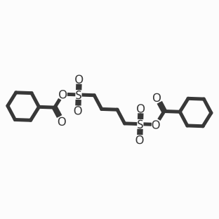 O=C(OS(=O)(=O)CCCCS(=O)(=O)OC(=O)C1CCCCC1)C1CCCCC1